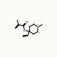 C=CC1(OC(=O)C(=C)C)CCN(C)CC1